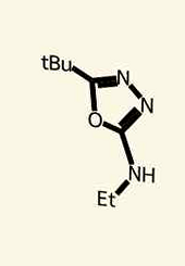 CCNc1nnc(C(C)(C)C)o1